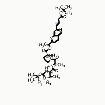 CC(C)[C@H](NC(=O)OC(C)(C)C)C(=O)N[C@@H](C)C(=O)N1CCC[C@@H](C(=O)O[C@H](C)c2ccc3cnc(/C=C/CC(=O)OC(C)(C)C)cc3n2)N1